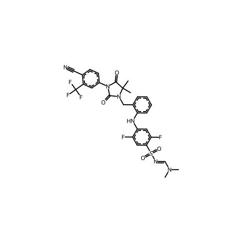 CN(C)C=NS(=O)(=O)c1cc(F)c(Nc2ccccc2CN2C(=O)N(c3ccc(C#N)c(C(F)(F)F)c3)C(=O)C2(C)C)cc1F